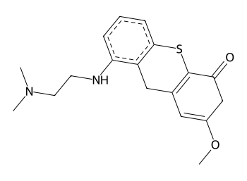 COC1=CC2=C(Sc3cccc(NCCN(C)C)c3C2)C(=O)C1